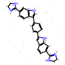 c1cc2cc(-c3ccc(-c4c[nH]c5cc(C6=NCCN6)ccc45)cc3)[nH]c2cc1C1=NCCN1